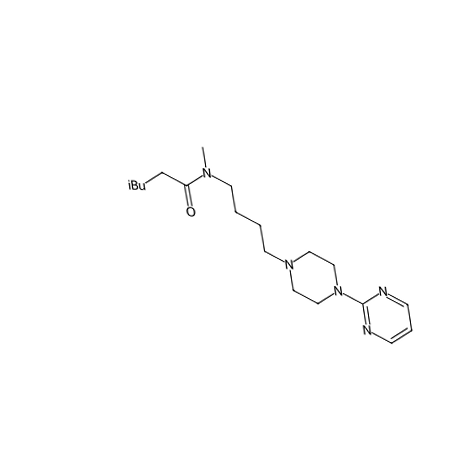 CCC(C)CC(=O)N(C)CCCCN1CCN(c2ncccn2)CC1